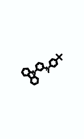 CN(c1ccc(C(C)(C)C)cc1)c1cccc(-n2c3ccccc3c3ccccc32)c1